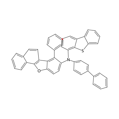 c1ccc(-c2ccc(N(c3ccc4oc5c6ccccc6ccc5c4c3-c3ccccc3)c3cccc4c3sc3ccccc34)cc2)cc1